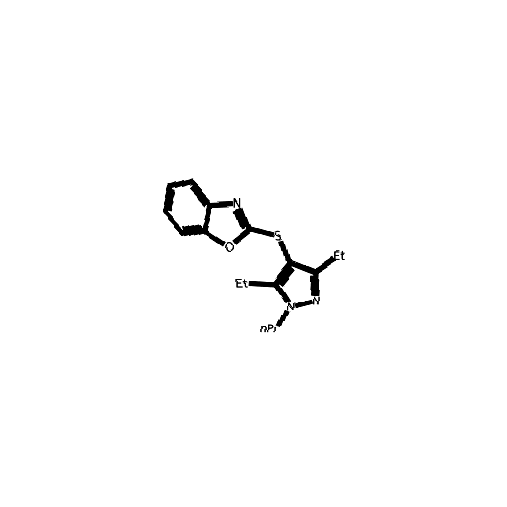 CCCn1nc(CC)c(Sc2nc3ccccc3o2)c1CC